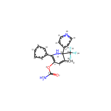 CC1=CC(OC(N)=O)=C(c2ccccc2)NC1(c1ccncc1)C(F)(F)F